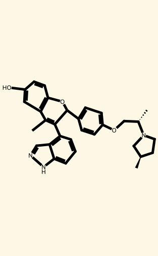 CC1=C(c2cccc3[nH]ncc23)C(c2ccc(OC[C@H](C)N3CC[C@@H](C)C3)cc2)Oc2ccc(O)cc21